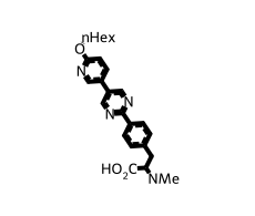 CCCCCCOc1ccc(-c2cnc(-c3ccc(CC(NC)C(=O)O)cc3)nc2)cn1